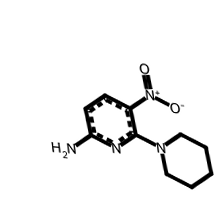 Nc1ccc([N+](=O)[O-])c(N2CCCCC2)n1